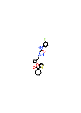 O=C(CNCCC1CC[C@@H]1OC(=O)C1(c2cccs2)CCCCCC1)Nc1cccc(F)c1